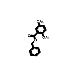 CC(=O)Oc1ccc(OC(C)=O)c(C(=O)OCc2ccccc2)c1